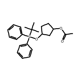 CC(=O)OC1CCC(O[Si](c2ccccc2)(c2ccccc2)C(C)(C)C)C1